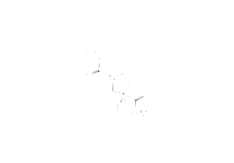 COC(=O)[C@@]1(F)CCN(C(=O)OC(C)(C)C)C1